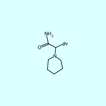 CC(C)C(C(N)=O)N1CCCCC1